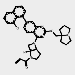 C=CC(=O)N1CCC2[C@H]1CN2c1nc(OCC23CCCN2CCC3)nc2cc(-c3cccc4cccc(Cl)c34)ccc12